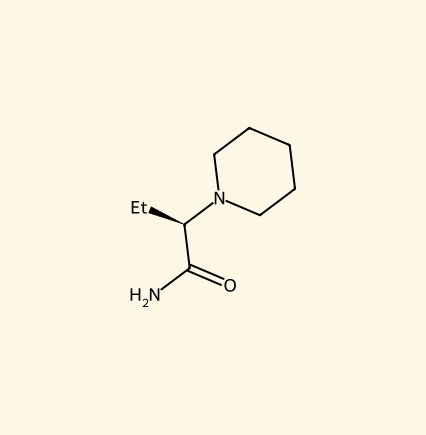 CC[C@H](C(N)=O)N1CCCCC1